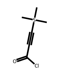 CS(C)(C)C#CC(=O)Cl